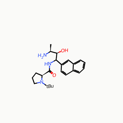 C[C@H](N)[C@@H](O)C(NC(=O)[C@@H]1CCCN1C(C)(C)C)c1ccc2ccccc2c1